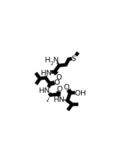 CSCC[C@H](N)C(=O)N[C@H](C(=O)N[C@@H](C)C(=O)N[C@H](C(=O)O)C(C)C)C(C)C